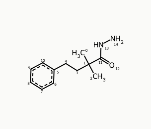 CC(C)(CCc1ccccc1)C(=O)NN